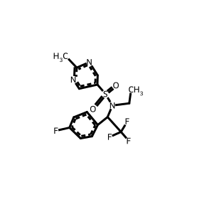 CCN(C(c1ccc(F)cc1)C(F)(F)F)S(=O)(=O)c1cnc(C)nc1